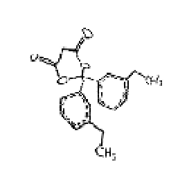 CCc1cccc(C2(c3cccc(CC)c3)OC(=O)CC(=O)O2)c1